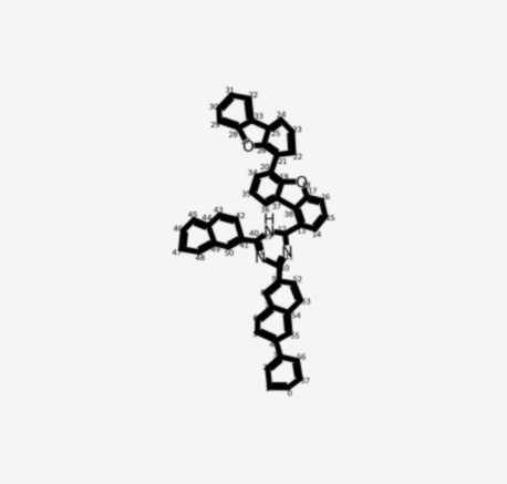 c1ccc(-c2ccc3cc(C4=NC(c5cccc6oc7c(-c8cccc9c8oc8ccccc89)cccc7c56)NC(c5ccc6ccccc6c5)=N4)ccc3c2)cc1